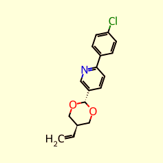 C=C[C@H]1CO[C@H](c2ccc(-c3ccc(Cl)cc3)nc2)OC1